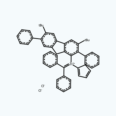 CC(C)(C)c1cc2c(cc1-c1ccccc1)Cc1c-2cc(C(C)(C)C)c(-c2ccccc2)[c]1[Zr+2]([C]1=CC=CC1)=[C](c1ccccc1)c1ccccc1.[Cl-].[Cl-]